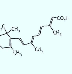 CC(C=CC1=C(C)CCCC1(C)C)=C/C=C/C(C)=C/C(=O)O